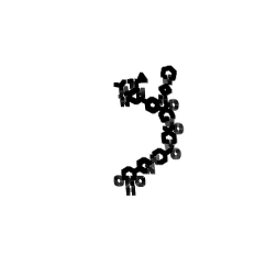 CC(C)n1cnc2cc(-c3ccc4c(c3)N([C@H]3C[C@@H](N5CCCCC5)C3)C(=O)C43CCN(C(=O)C4(C)CCN(C(=O)C5CCN(c6ccc(C7CCC(=O)NC7=O)cn6)CC5)CC4)CC3)nc(N(C)C3CC3)c21